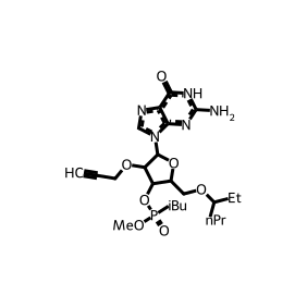 C#CCOC1C(OP(=O)(OC)C(C)CC)C(COC(CC)CCC)OC1n1cnc2c(=O)[nH]c(N)nc21